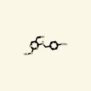 CCCCOc1ncc(C=N)c(NCc2ccc(OC)cc2)n1